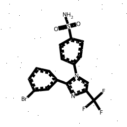 NS(=O)(=O)c1ccc(-n2cc(C(F)(F)F)nc2-c2cccc(Br)c2)cc1